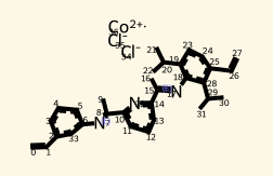 C=Cc1cccc(/N=C(\C)c2cccc(/C(C)=N/c3c(C(C)C)ccc(C=C)c3C(C)C)n2)c1.[Cl-].[Cl-].[Co+2]